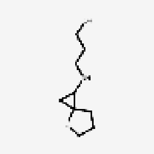 OCCCNC1CC12CCCO2